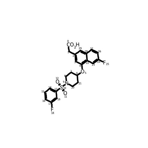 O=C(O)Cc1cc(OC2CCN(S(=O)(=O)c3cccc(F)c3)CC2)c2cc(F)ccc2c1